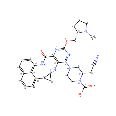 CN1CCC[C@H]1COc1nc(C(=O)Nc2cccc3cccc(C4CC4)c23)c(N)c(N2CCN(C(=O)O)[C@@H](CC#N)C2)n1